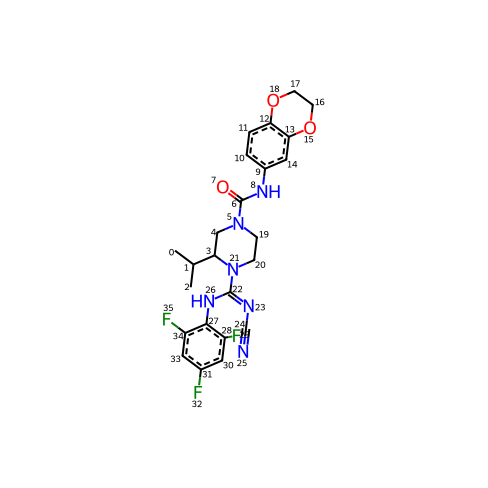 CC(C)C1CN(C(=O)Nc2ccc3c(c2)OCCO3)CCN1/C(=N/C#N)Nc1c(F)cc(F)cc1F